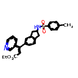 CCOC(=O)/C=C(\c1cccnc1)c1ccc2c(c1)CC(NS(=O)(=O)c1ccc(C)cc1)C2